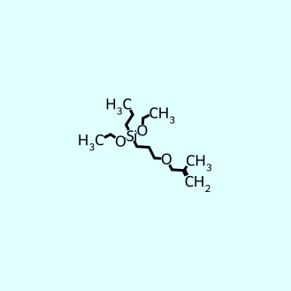 C=C(C)COCCC[Si](CCC)(OCC)OCC